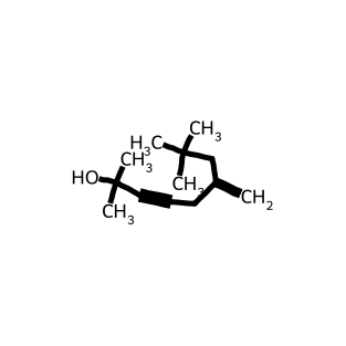 C=C(CC#CC(C)(C)O)CC(C)(C)C